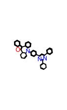 c1ccc(-c2cc(-c3ccc(N4c5ccccc5-c5c(oc6ccccc56)C5CCC=CC54)cc3)nc(C3=CC=CCC3)n2)cc#1